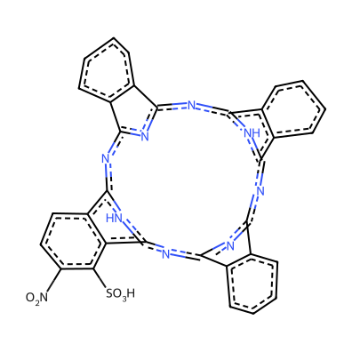 O=[N+]([O-])c1ccc2c3nc4nc(nc5[nH]c(nc6nc(nc([nH]3)c2c1S(=O)(=O)O)-c1ccccc1-6)c1ccccc51)-c1ccccc1-4